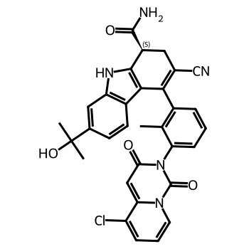 Cc1c(C2=C(C#N)C[C@H](C(N)=O)c3[nH]c4cc(C(C)(C)O)ccc4c32)cccc1-n1c(=O)cc2c(Cl)cccn2c1=O